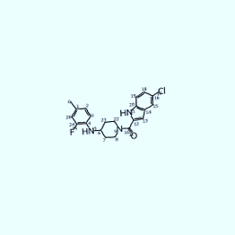 Cc1ccc(NC2CCN(C(=O)c3cc4cc(Cl)ccc4[nH]3)CC2)c(F)c1